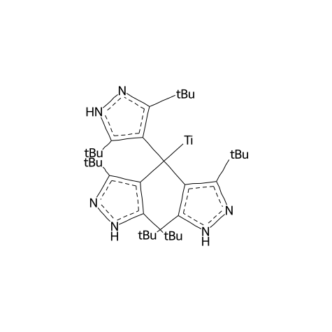 CC(C)(C)c1n[nH]c(C(C)(C)C)c1[C]([Ti])(c1c(C(C)(C)C)n[nH]c1C(C)(C)C)c1c(C(C)(C)C)n[nH]c1C(C)(C)C